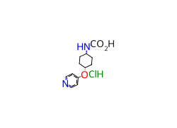 Cl.O=C(O)N[C@H]1CC[C@H](Oc2ccncc2)CC1